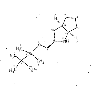 CC(C)(C)[Si](C)(C)OC[C@H]1C[C@H]2CCC[C@H]2N1